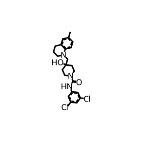 Cc1ccc2c(c1)CCCN2CC1(O)CCN(C(=O)Nc2cc(Cl)cc(Cl)c2)CC1